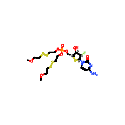 COCCSSCCOP(=O)(OCCSSCCOC)OC[C@H]1S[C@@H](n2ccc(N)nc2=O)[C@@H](F)[C@@H]1O